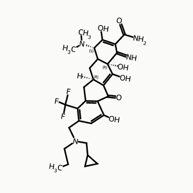 CCCN(Cc1cc(O)c2c(c1C(F)(F)F)C[C@H]1CC3[C@H](N(C)C)C(O)=C(C(N)=O)C(=N)[C@@]3(O)C(O)=C1C2=O)CC1CC1